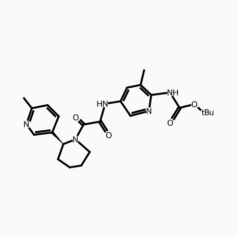 Cc1ccc([C@@H]2CCCCN2C(=O)C(=O)Nc2cnc(NC(=O)OC(C)(C)C)c(C)c2)cn1